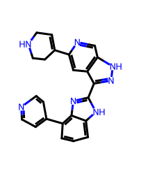 C1=C(c2cc3c(-c4nc5c(-c6ccncc6)cccc5[nH]4)n[nH]c3cn2)CCNC1